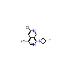 CC(C)c1cnc(N2CC(F)C2)c2cnc(Cl)cc12